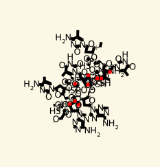 CC[C@H]1O[C@@H](n2cc(C)c(N)nc2=O)CC1OP(=O)(S)OC[C@H]1O[C@@H](n2cc(C)c(=O)[nH]c2=O)CC1OP(=O)(S)OC[C@H]1O[C@@H](n2cc(C)c(=O)[nH]c2=O)CC1OP(=O)(S)OC[C@H]1O[C@@H](n2cnc3c(N)ncnc32)CC1OP(=O)(S)OC[C@H]1O[C@@H](n2cc(C)c(N)nc2=O)CC1OP(=O)(S)OC[C@H]1O[C@@H](n2cc(C)c(N)nc2=O)CC1OP(=O)(S)OC[C@H]1O[C@@H](n2cnc3c(N)ncnc32)[C@@H](OCCOC)C1OP(=O)(S)OC